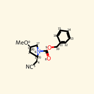 CO[C@@H]1C[C@H](CC#N)N(C(=O)OCc2ccccc2)C1